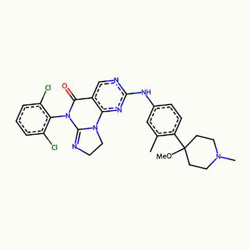 COC1(c2ccc(Nc3ncc4c(n3)N3CCN=C3N(c3c(Cl)cccc3Cl)C4=O)cc2C)CCN(C)CC1